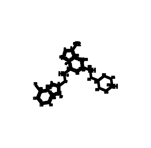 CCc1cnn2c(NCc3cn4c(C)cccc4n3)cc(NCC3CCNCC3)nc12